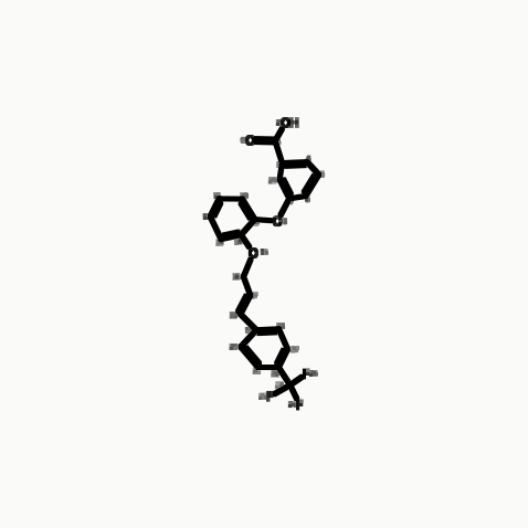 O=C(O)c1cccc(Oc2ccccc2OCC=Cc2ccc(C(F)(F)F)cc2)c1